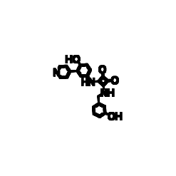 O=c1c(NCc2cccc(O)c2)c(Nc2ccc(O)c(-c3ccncc3)c2)c1=O